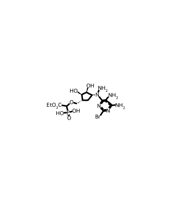 CCOC(=O)C(OC[C@H]1C[C@@H](N(N)c2nc(Br)nc(N)c2N)[C@H](O)[C@@H]1O)P(=O)(O)O